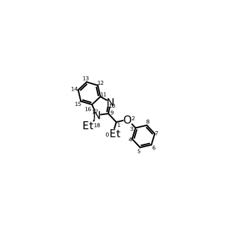 CCC(Oc1ccccc1)c1nc2ccccc2n1CC